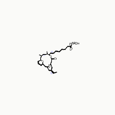 C/C=C1\CC2CC(=O)OC(/C=C/CCCCCC(=O)NO)C(C)/C=C/C(C)CC3CCCC(CC(C1)O2)O3